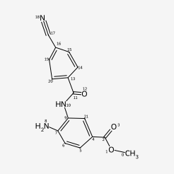 COC(=O)c1ccc(N)c(NC(=O)c2ccc(C#N)cc2)c1